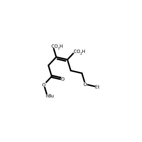 CCCCOC(=O)CC(C(=O)O)=C(CCOCC)C(=O)O